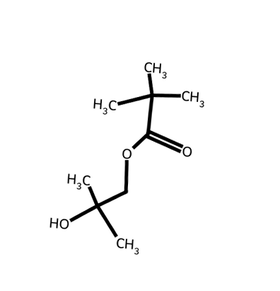 CC(C)(O)COC(=O)C(C)(C)C